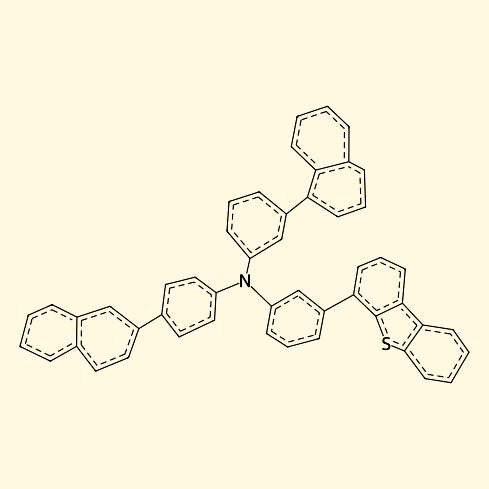 c1cc(-c2cccc3ccccc23)cc(N(c2ccc(-c3ccc4ccccc4c3)cc2)c2cccc(-c3cccc4c3sc3ccccc34)c2)c1